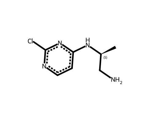 C[C@@H](CN)Nc1ccnc(Cl)n1